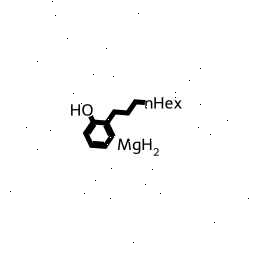 CCCCCCCCCc1ccccc1O.[MgH2]